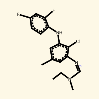 CCN(C)/C=N\c1cc(C)cc(Nc2ccc(F)cc2F)c1Cl